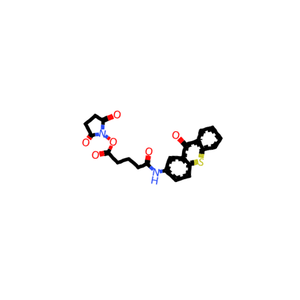 O=C(CCCC(=O)ON1C(=O)CCC1=O)Nc1ccc2sc3ccccc3c(=O)c2c1